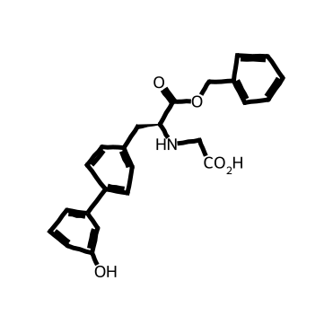 O=C(O)CN[C@@H](Cc1ccc(-c2cccc(O)c2)cc1)C(=O)OCc1ccccc1